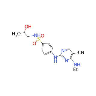 CCNc1nc(Nc2ccc(S(=O)(=O)NCC(C)O)cc2)ncc1C#N